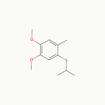 COc1cc(C)c(SC(C)C)cc1OC